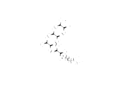 O=C([O-])C(=O)[O-].O=C([O-])C(=O)[O-].O=C([O-])C(=O)[O-].O=C([O-])C(=O)[O-].[Ca+2].[K+].[K+].[Mg+2].[Mg+2]